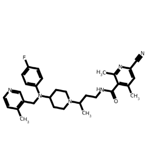 Cc1ccncc1CN(c1ccc(F)cc1)C1CCN(C(C)CCNC(=O)c2c(C)cc(C#N)nc2C)CC1